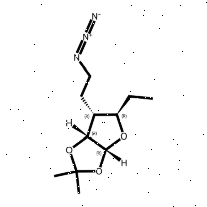 CC[C@H]1O[C@@H]2OC(C)(C)O[C@@H]2[C@@H]1CCN=[N+]=[N-]